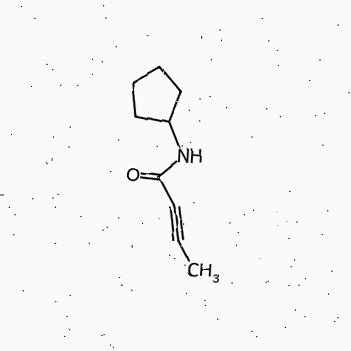 CC#CC(=O)NC1CCCC1